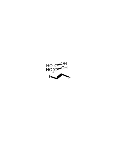 FC=CF.O=C(O)O.O=C(O)O